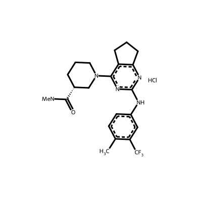 CNC(=O)[C@@H]1CCCN(c2nc(Nc3ccc(C)c(C(F)(F)F)c3)nc3c2CCC3)C1.Cl